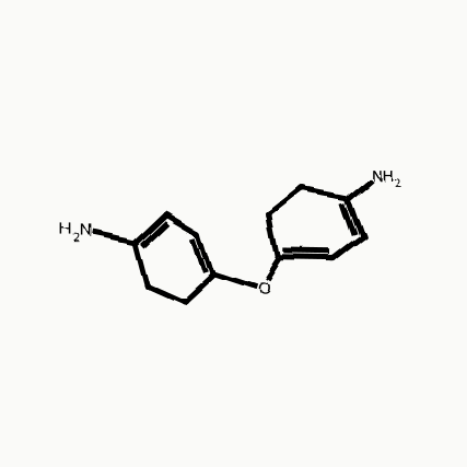 NC1=CC=C(OC2=CC=C(N)CC2)CC1